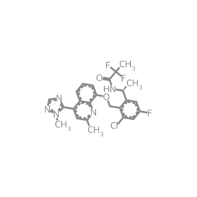 Cc1cc(-c2ncnn2C)c2cccc(OCc3c(Cl)cc(F)cc3[C@H](C)NC(=O)C(C)(F)F)c2n1